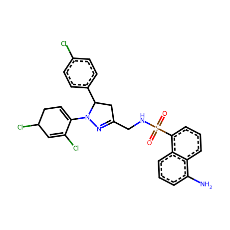 Nc1cccc2c(S(=O)(=O)NCC3=NN(C4=CCC(Cl)C=C4Cl)C(c4ccc(Cl)cc4)C3)cccc12